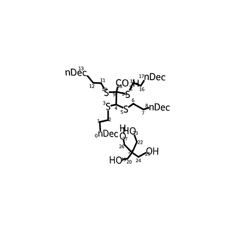 CCCCCCCCCCCCSC(SCCCCCCCCCCCC)C(SCCCCCCCCCCCC)(SCCCCCCCCCCCC)C(=O)O.OCC(CO)(CO)CO